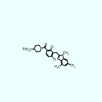 CCOC(=O)C1CCN(C(=O)c2ccc(Cl)c(Cc3nc4c(C)cc(C(F)(F)F)cc4n3C)c2Cl)CC1